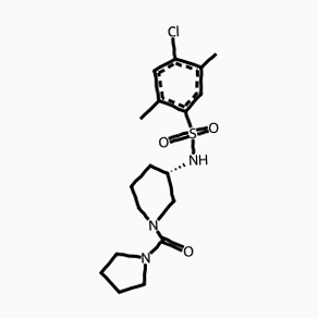 Cc1cc(S(=O)(=O)N[C@H]2CCCN(C(=O)N3CCCC3)C2)c(C)cc1Cl